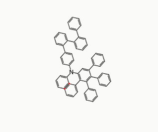 c1ccc(-c2ccccc2-c2ccccc2-c2ccc(N(c3ccccc3)c3cc(-c4ccccc4)c(-c4ccccc4)c(-c4ccccc4)c3-c3ccccc3)cc2)cc1